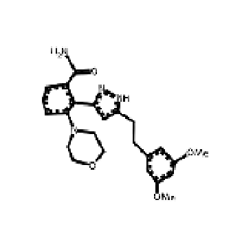 COc1cc(CCc2cc(-c3c(C(N)=O)cccc3N3CCOCC3)n[nH]2)cc(OC)c1